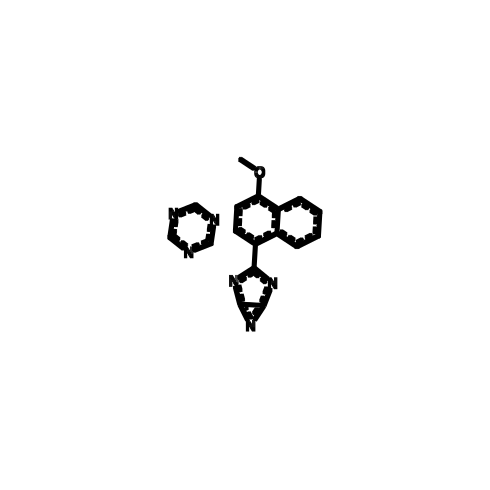 COc1ccc(-c2nc3nc-3n2)c2ccccc12.c1ncncn1